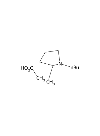 CC(=O)O.CCCCN1CCCC1C